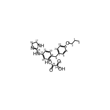 CCCOc1ccc(Cc2ccc(NC3=NCCN3)cc2)cc1.O=C(O)C(=O)O